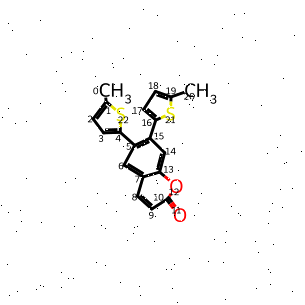 Cc1ccc(-c2cc3ccc(=O)oc3cc2-c2ccc(C)s2)s1